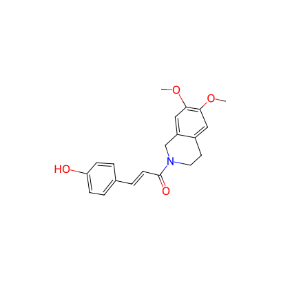 COc1cc2c(cc1OC)CN(C(=O)/C=C/c1ccc(O)cc1)CC2